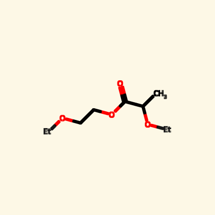 CCOCCOC(=O)C(C)OCC